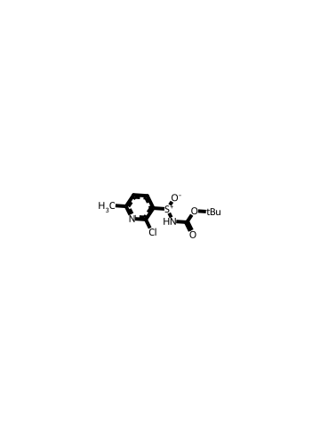 Cc1ccc([S+]([O-])NC(=O)OC(C)(C)C)c(Cl)n1